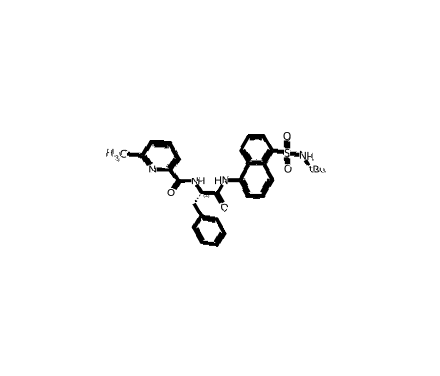 Cc1cccc(C(=O)N[C@@H](Cc2ccccc2)C(=O)Nc2cccc3c(S(=O)(=O)NC(C)(C)C)cccc23)n1